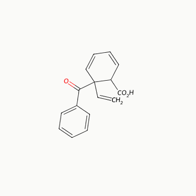 C=CC1(C(=O)c2ccccc2)C=CC=CC1C(=O)O